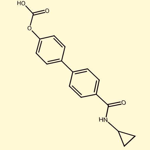 O=C(O)Oc1ccc(-c2ccc(C(=O)NC3CC3)cc2)cc1